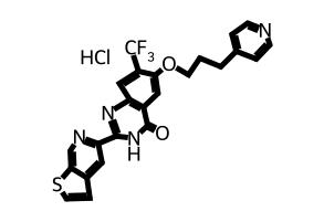 Cl.O=c1[nH]c(-c2cc3ccsc3cn2)nc2cc(C(F)(F)F)c(OCCCc3ccncc3)cc12